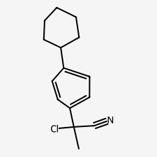 CC(Cl)(C#N)c1ccc(C2CCCCC2)cc1